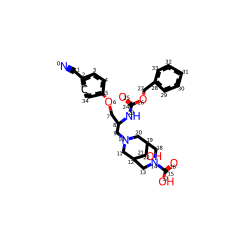 N#Cc1ccc(OCC(CN2CC3CN(C(=O)O)CC(C2)C3O)NC(=O)OCc2ccccc2)cc1